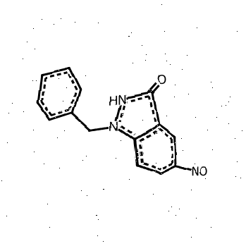 O=Nc1ccc2c(c1)c(=O)[nH]n2Cc1ccccc1